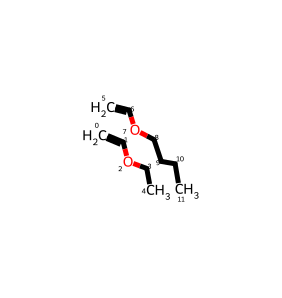 C=COCC.C=COCCCC